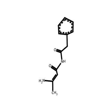 C/C(N)=C/C(=O)NC(=O)Cc1ccccc1